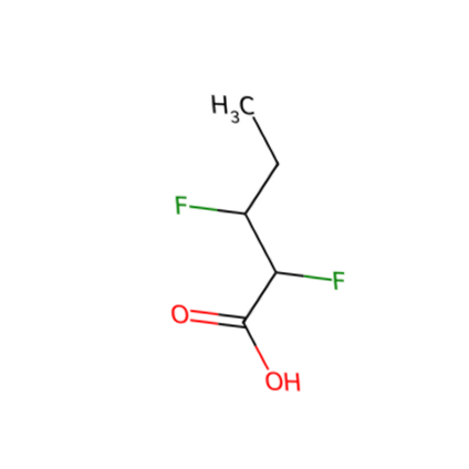 CCC(F)C(F)C(=O)O